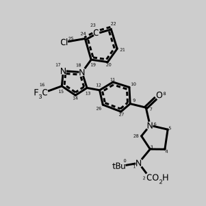 CC(C)(C)N(C(=O)O)C1CCN(C(=O)c2ccc(-c3cc(C(F)(F)F)nn3-c3ccccc3Cl)cc2)C1